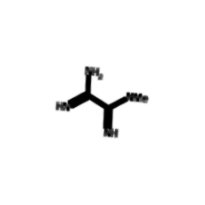 CNC(=N)C(=N)N